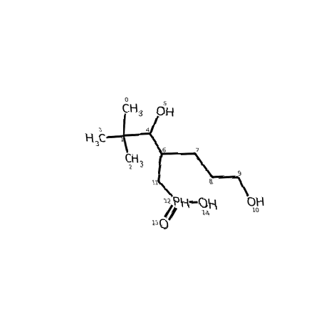 CC(C)(C)C(O)C(CCCO)C[PH](=O)O